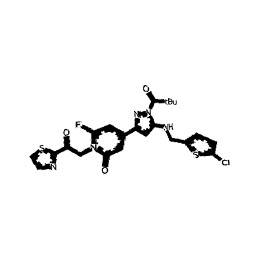 CC(C)(C)C(=O)n1nc(-c2cc(F)n(CC(=O)c3nccs3)c(=O)c2)cc1NCc1ccc(Cl)s1